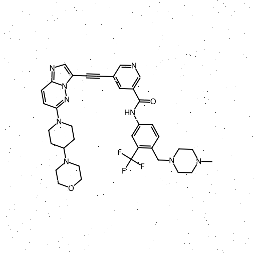 CN1CCN(Cc2ccc(NC(=O)c3cncc(C#Cc4cnc5ccc(N6CCC(N7CCOCC7)CC6)nn45)c3)cc2C(F)(F)F)CC1